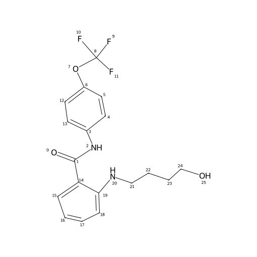 O=C(Nc1ccc(OC(F)(F)F)cc1)c1ccccc1NCCCCO